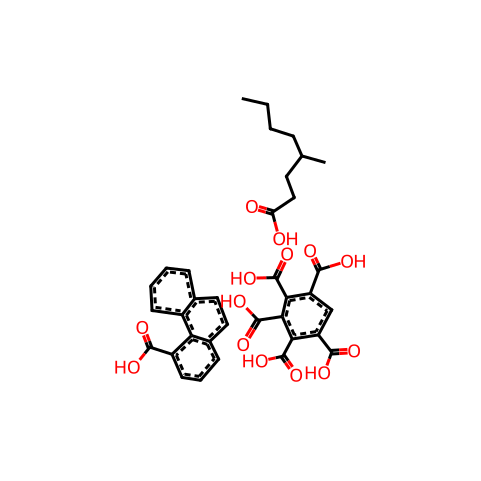 CCCCC(C)CCC(=O)O.O=C(O)c1cc(C(=O)O)c(C(=O)O)c(C(=O)O)c1C(=O)O.O=C(O)c1cccc2ccc3ccccc3c12